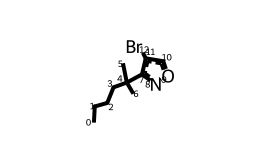 CCCCC(C)(C)c1nocc1Br